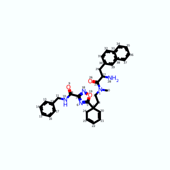 CN(CCC1(c2nc(C(=O)NCc3ccccc3)no2)C=CC=CC1)C(=O)C(N)Cc1ccc2ccccc2c1